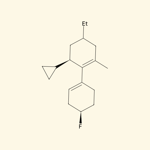 CCC1CC(C)=C(C2=CC[C@H](F)CC2)[C@@H](C2CC2)C1